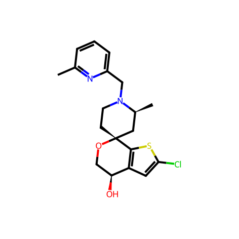 Cc1cccc(CN2CC[C@]3(C[C@@H]2C)OC[C@H](O)c2cc(Cl)sc23)n1